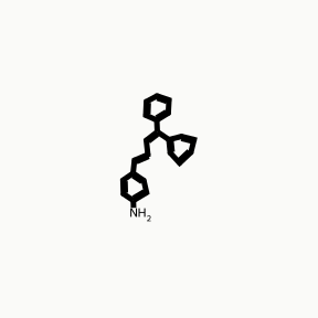 Nc1ccc(C=CC=C(c2ccccc2)c2ccccc2)cc1